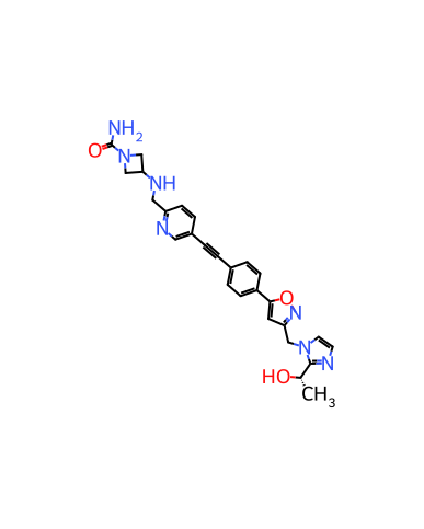 C[C@H](O)c1nccn1Cc1cc(-c2ccc(C#Cc3ccc(CNC4CN(C(N)=O)C4)nc3)cc2)on1